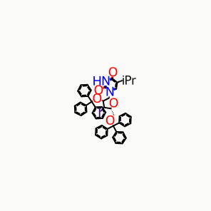 CC(C)c1cn([C@@H]2O[C@H](COC(c3ccccc3)(c3ccccc3)c3ccccc3)[C@@H](I)[C@H]2OC(c2ccccc2)(c2ccccc2)c2ccccc2)c(=O)[nH]c1=O